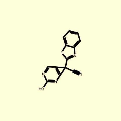 N#CC1(c2nc3ccccc3s2)c2cnc(O)nc21